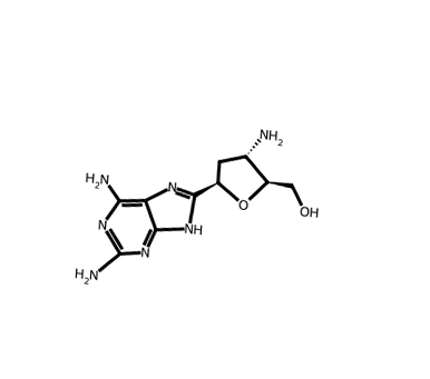 Nc1nc(N)c2nc([C@H]3C[C@H](N)[C@@H](CO)O3)[nH]c2n1